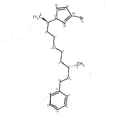 C[C@H](CCOCC[C@H](C)OCc1ccccc1)n1ncc(Br)n1